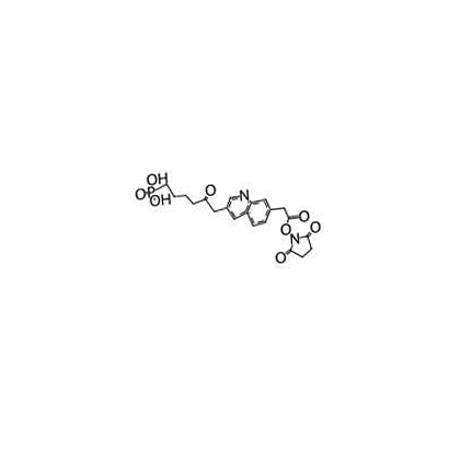 O=C(CCCCP(=O)(O)O)Cc1cnc2cc(CC(=O)ON3C(=O)CCC3=O)ccc2c1